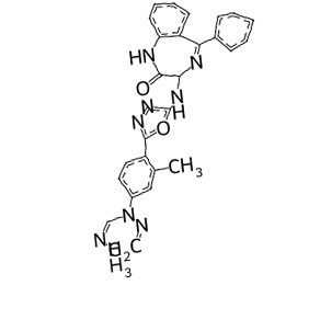 C=NN(/C=N\C)c1ccc(-c2nnc(NC3N=C(c4ccccc4)c4ccccc4NC3=O)o2)c(C)c1